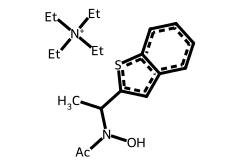 CC(=O)N(O)C(C)c1cc2ccccc2s1.CC[N+](CC)(CC)CC